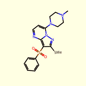 CSc1nn2c(N3CCN(C)CC3)ccnc2c1S(=O)(=O)c1ccccc1